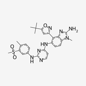 Cc1ccc(Nc2nccc(Nc3ccc4c(nc(N)n4C)c3-c3cc(C(C)(C)C)on3)n2)cc1S(C)(=O)=O